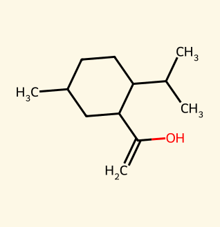 C=C(O)C1CC(C)CCC1C(C)C